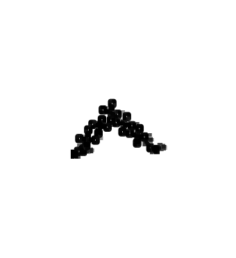 O=S(=O)([O-])[O-].O=S(=O)([O-])[O-].O=S(=O)([O-])[O-].O=S(=O)([O-])[O-].O=S(=O)([O-])[O-].[Co+2].[Co+2].[K+].[K+].[Ni+2].[Ni+2]